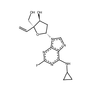 C=C[C@]1(CO)O[C@@H](n2cnc3c(NC4CC4)nc(F)nc32)C[C@@H]1O